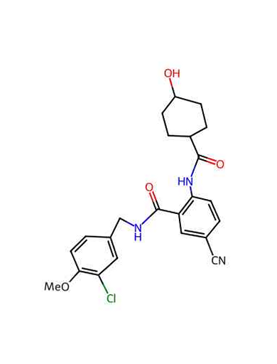 COc1ccc(CNC(=O)c2cc(C#N)ccc2NC(=O)C2CCC(O)CC2)cc1Cl